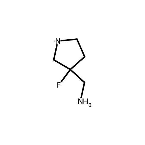 NCC1(F)CC[N]C1